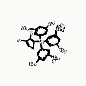 CCC1=CCC([Si](c2cc(C(C)(C)C)cc(C(C)(C)C)c2)(c2cc(C(C)(C)C)cc(C(C)(C)C)c2)c2cc(C(C)(C)C)cc(C(C)(C)C)c2)=[C]1[Ti+3].[Cl-].[Cl-].[Cl-]